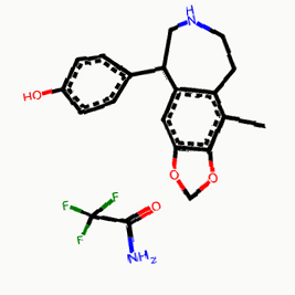 Cc1c2c(cc3c1OCO3)C(c1ccc(O)cc1)CNCC2.NC(=O)C(F)(F)F